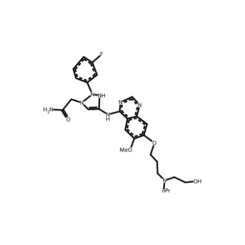 CCCN(CCO)CCCOc1cc2ncnc(NC3=CN(CC(N)=O)N(c4cccc(F)c4)N3)c2cc1OC